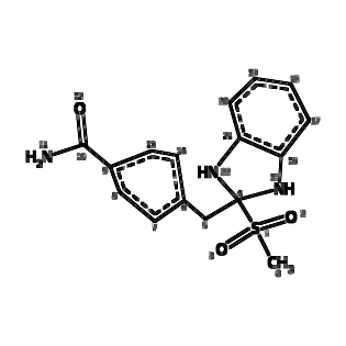 CS(=O)(=O)C1(Cc2ccc(C(N)=O)cc2)Nc2ccccc2N1